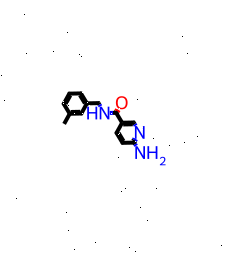 Cc1cccc(CNC(=O)c2ccc(N)nc2)c1